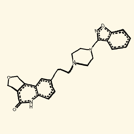 O=c1[nH]c2ccc(CCN3CCN(c4noc5ccccc45)CC3)cc2c2c1COC2